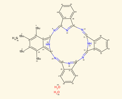 CC(C)(C)c1c(C(C)(C)C)c(C(C)(C)C)c2c3nc4nc(nc5[nH]c(nc6nc(nc([nH]3)c2c1C(C)(C)C)-c1ccccc1-6)c1ccccc51)-c1ccccc1-4.O.O.[SiH4]